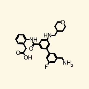 NCc1cc(F)cc(-c2cc(NCC3CCOCC3)cc(C(=O)Nc3ccccc3CC(=O)O)c2)c1